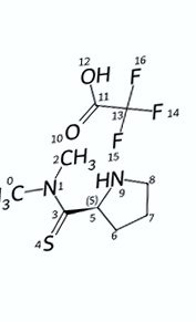 CN(C)C(=S)[C@@H]1CCCN1.O=C(O)C(F)(F)F